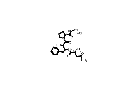 CC(C)(C)NC(=O)[C@@H]1CCCN1C(=O)C(O)C(Cc1ccccc1)NC(=O)[C@@H](N)CC(N)=O.Cl